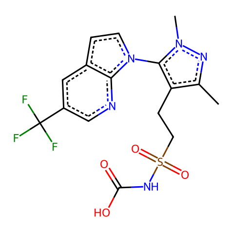 Cc1nn(C)c(-n2ccc3cc(C(F)(F)F)cnc32)c1CCS(=O)(=O)NC(=O)O